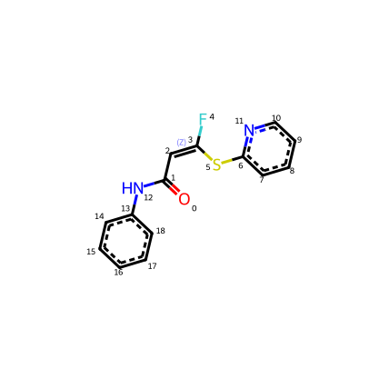 O=C(/C=C(/F)Sc1ccccn1)Nc1ccccc1